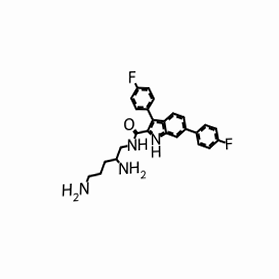 NCCCC(N)CNC(=O)c1[nH]c2cc(-c3ccc(F)cc3)ccc2c1-c1ccc(F)cc1